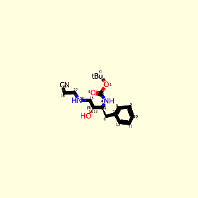 CC(C)(C)OC(=O)N[C@@H](Cc1ccccc1)[C@H](O)CNCCC#N